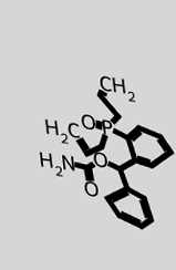 C=CCP(=O)(CC=C)c1ccccc1C(OC(N)=O)c1ccccc1